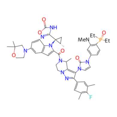 CCP(=O)(CC)c1ccc(-n2ccn(-c3c(-c4cc(C)c(F)c(C)c4)nn4c3C(C)N(C(=O)c3cc5cc(N6CCOC(C)(C)C6)ccc5n3[C@@]3(c5noc(=O)[nH]5)C[C@@H]3C)CC4)c2=O)cc1NC